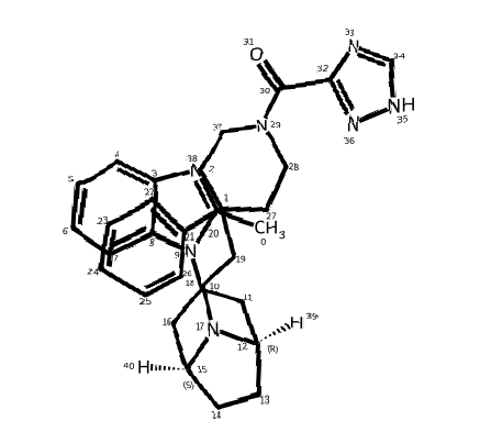 Cc1nc2ccccc2n1C1C[C@H]2CC[C@@H](C1)N2CCC1(c2ccccc2)CCN(C(=O)c2nc[nH]n2)CC1